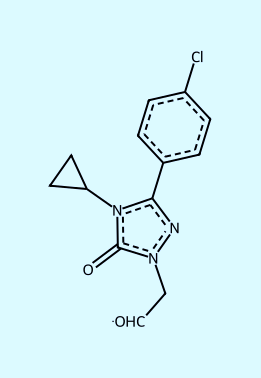 O=[C]Cn1nc(-c2ccc(Cl)cc2)n(C2CC2)c1=O